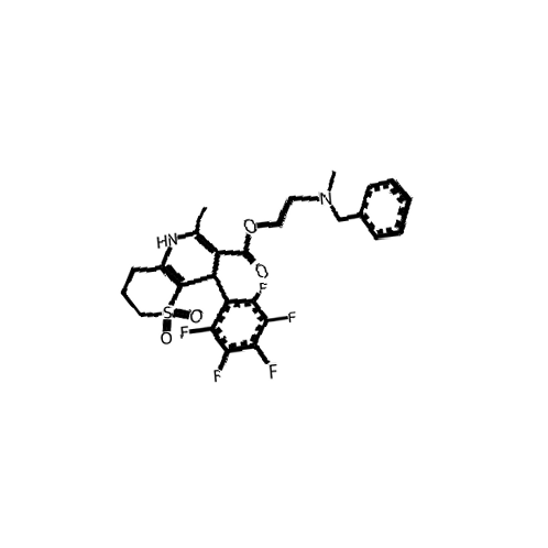 CC1=C(C(=O)OCCN(C)Cc2ccccc2)C(c2c(F)c(F)c(F)c(F)c2F)C2=C(CCCS2(=O)=O)N1